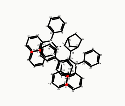 c1ccc(P(c2ccccc2)C([C@@H]2C3CCC(C3)[C@H]2C(P(c2ccccc2)c2ccccc2)P(c2ccccc2)c2ccccc2)P(c2ccccc2)c2ccccc2)cc1